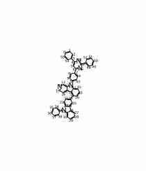 c1ccc(-c2cc(-c3ccc(-n4c5cnccc5c5c(-c6ccc7c(c6)c6ccccc6n7-c6ccccc6)cccc54)cc3)nc(-c3ccccc3)n2)cc1